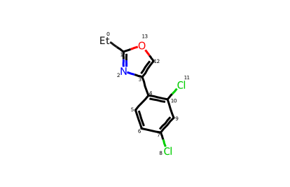 CCc1nc(-c2ccc(Cl)cc2Cl)co1